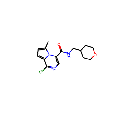 Cc1ccc2c(Cl)ncc(C(=O)NCC3CCOCC3)n12